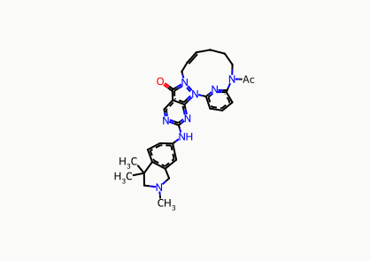 CC(=O)N1CCC/C=C\Cn2c(=O)c3cnc(Nc4ccc5c(c4)CN(C)CC5(C)C)nc3n2-c2cccc1n2